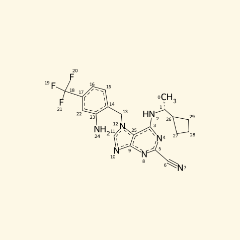 C[C@@H](Nc1nc(C#N)nc2ncn(Cc3ccc(C(F)(F)F)cc3N)c12)C1CCC1